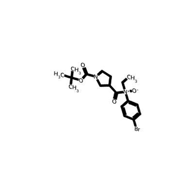 CC[N+]([O-])(C(=O)C1CCN(C(=O)OC(C)(C)C)C1)c1ccc(Br)cc1